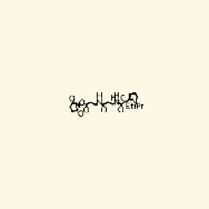 CC[C@](C)(C(=O)NCCC(=O)NCCC(=O)ON1C(=O)CCC1=O)C1CCCN1C(C)C